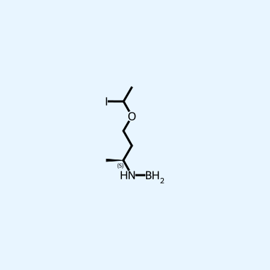 BN[C@@H](C)CCOC(C)I